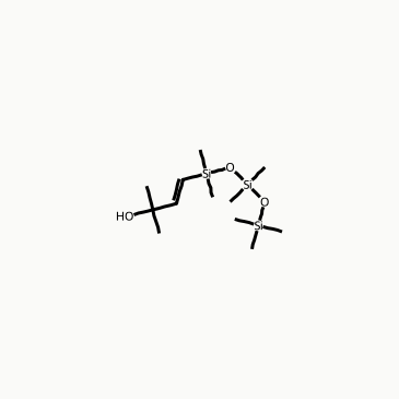 CC(C)(O)C=C[Si](C)(C)O[Si](C)(C)O[Si](C)(C)C